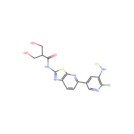 O=C(Nc1nc2ccc(-c3cnc(Cl)c(NS)c3)nc2s1)C(CO)CO